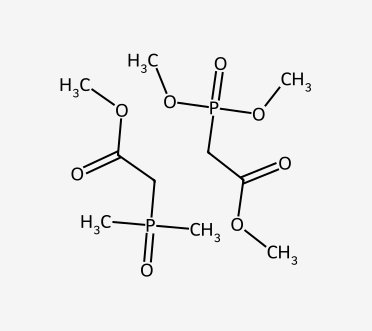 COC(=O)CP(=O)(OC)OC.COC(=O)CP(C)(C)=O